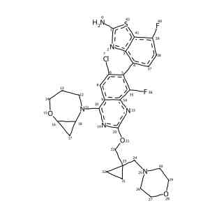 Nc1nc2c(-c3c(Cl)cc4c(N5CCCOC6CC65)nc(OCC5(CN6CCOCC6)CC5)nc4c3F)ccc(F)c2s1